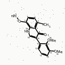 CCCOc1ccc(C)c2c(=O)c(-c3cccc(OC)c3OC)c[nH]c12